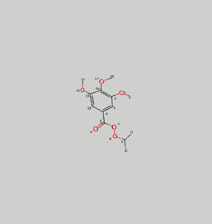 COc1cc(C(=O)OO[C](C)C)cc(OC)c1OC